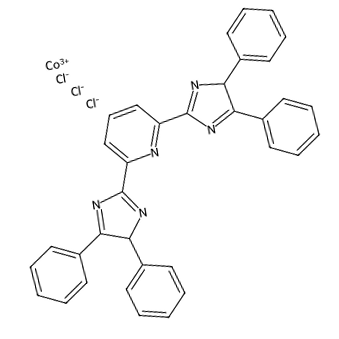 [Cl-].[Cl-].[Cl-].[Co+3].c1ccc(C2=NC(c3cccc(C4=NC(c5ccccc5)C(c5ccccc5)=N4)n3)=NC2c2ccccc2)cc1